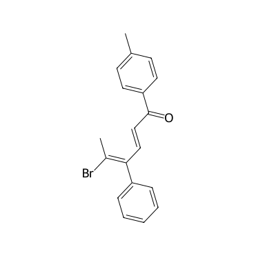 CC(Br)=C(C=CC(=O)c1ccc(C)cc1)c1ccccc1